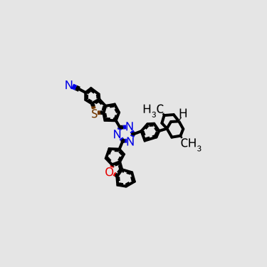 C[C@@H]1C[C@@H]2C[C@H](C)CC(c3ccc(-c4nc(-c5ccc6c(c5)sc5cc(C#N)ccc56)nc(-c5ccc6oc7ccccc7c6c5)n4)cc3)(C1)C2